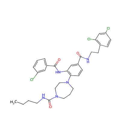 CCCCNC(=O)N1CCCN(c2ccc(C(=O)NCCc3ccc(Cl)cc3Cl)cc2NC(=O)c2cccc(Cl)c2)CC1